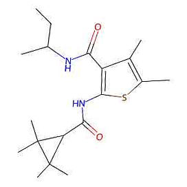 CCC(C)NC(=O)c1c(NC(=O)C2C(C)(C)C2(C)C)sc(C)c1C